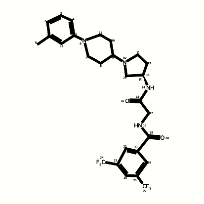 Cc1cccc(N2CCC(N3CC[C@@H](NC(=O)CNC(=O)c4cc(C(F)(F)F)cc(C(F)(F)F)c4)C3)CC2)c1